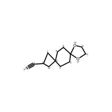 N#CC1CC2(CCC3(CC2)OCCO3)C1